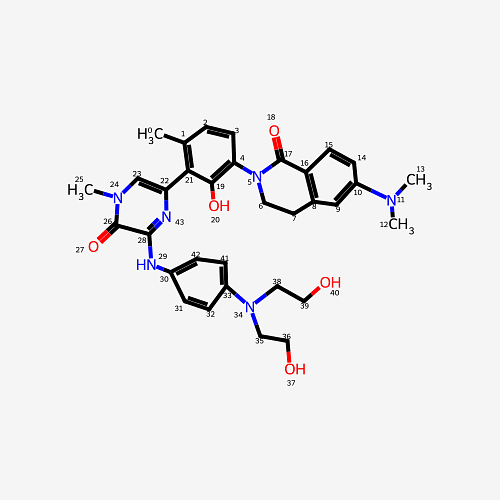 Cc1ccc(N2CCc3cc(N(C)C)ccc3C2=O)c(O)c1-c1cn(C)c(=O)c(Nc2ccc(N(CCO)CCO)cc2)n1